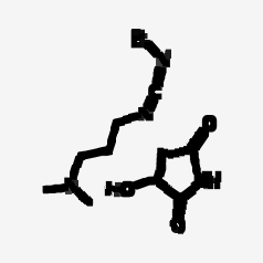 CCN=C=NCCCN(C)C.O=C1CC(O)C(=O)N1